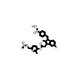 CC1=C(CC(=O)Oc2ccc(CO[N+](=O)[O-])nc2C)c2cc(F)ccc2C1=Cc1ccc([S+](C)[O-])cc1.Cl